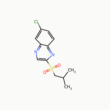 CC(C)CS(=O)(=O)c1cnc2cc(Cl)ccc2n1